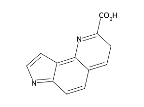 O=C(O)C1=Nc2c3c(ccc2=CC1)=NC=C3